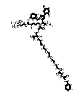 CC(C)(C)C(c1cc(-c2cc(F)ccc2F)cn1Cc1ccccc1)N(CCCNC(=O)OCC[Si](C)(C)C)C(=O)CSCC(NCCCOCCOCCOCCOCCNC(=O)CNC(=O)OCc1ccccc1)C(=O)O